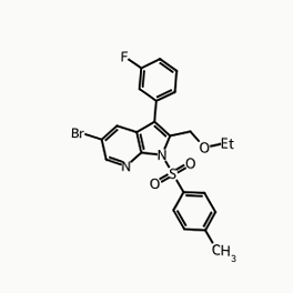 CCOCc1c(-c2cccc(F)c2)c2cc(Br)cnc2n1S(=O)(=O)c1ccc(C)cc1